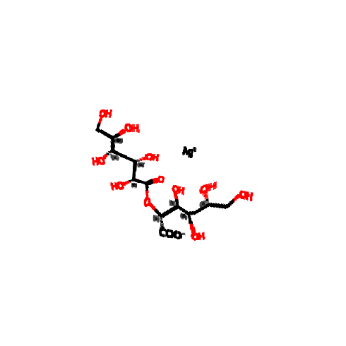 O=C(O[C@@H](C(=O)[O-])[C@@H](O)[C@H](O)[C@H](O)CO)[C@H](O)[C@@H](O)[C@H](O)[C@H](O)CO.[Ag+]